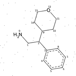 NCC(c1ccccc1)C1CCOCC1